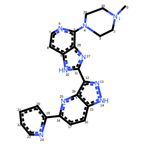 CN1CCN(c2nccc3[nH]c(-c4n[nH]c5ccc(-c6ccccn6)nc45)nc23)CC1